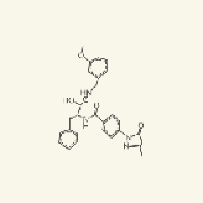 COc1cccc(CNC[C@H](O)[C@H](Cc2ccccc2)NC(=O)c2ccc(N3N=C(C)CC3=O)cc2)c1